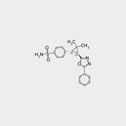 CC1(C)[C@@H](c2ccc(S(N)(=O)=O)cc2)[C@@H]1c1nnc(-c2ccccc2)o1